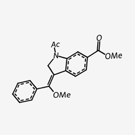 COC(=O)c1ccc2c(c1)N(C(C)=O)C/C2=C(/OC)c1ccccc1